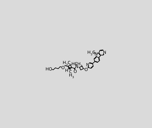 C[C@@H]1C2(COCCCCO)CC1(C(=O)N(C)[C@H]1C[C@H](Oc3ccc(-c4ccc5c6cnccc6n(C)c5c4)cn3)C1)[C@@H]2C